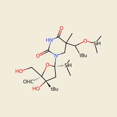 C[SiH](C)OC(C(C)(C)C)C1(C)CN([C@@]2([SiH](C)C)C[C@@](O)(C(C)(C)C)[C@@](C=O)(CO)O2)C(=O)NC1=O